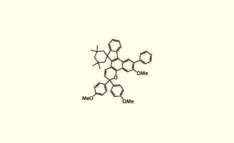 COc1ccc(C2(c3ccc(OC)cc3)C=Cc3c4c(c5cc(-c6ccccc6)c(OC)cc5c3O2)-c2ccccc2C42CC(C)(C)CC(C)(C)C2)cc1